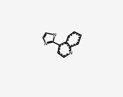 C1=CN=C(c2ccnc3ccccc23)[N]1